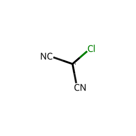 N#C[C](Cl)C#N